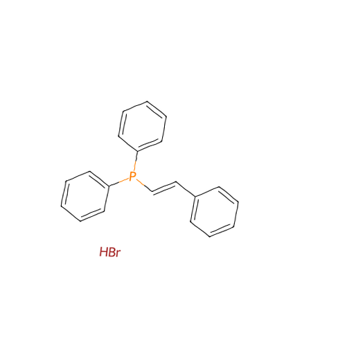 Br.C(=CP(c1ccccc1)c1ccccc1)c1ccccc1